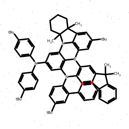 CC(C)(C)c1ccc(N(c2ccc(C(C)(C)C)cc2)c2cc3c4c(c2)N2c5c(cc(C(C)(C)C)cc5C5(C)CCCCC25C)B4c2cc4c(cc2N3c2ccc(C(C)(C)C)cc2-c2ccccc2)-c2ccccc2C4(C)C)cc1